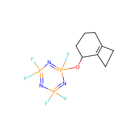 FP1(F)=NP(F)(F)=NP(F)(OC2CCCC3=C2CC3)=N1